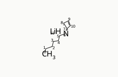 CCCCCCN=C1[CH]C=C1.[LiH]